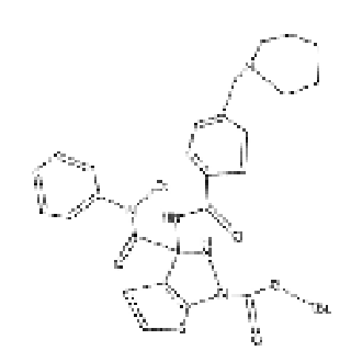 CCN(C(=O)C1(NC(=O)c2ccc(CN3CCCCC3)cc2)NN(C(=O)OC(C)(C)C)c2sccc21)c1ccccc1